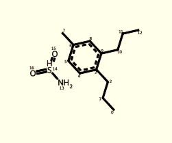 CCCc1ccc(C)cc1CCC.N[SH](=O)=O